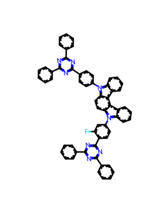 Fc1cc(-n2c3ccccc3c3c4c5ccccc5n(-c5ccc(-c6nc(-c7ccccc7)nc(-c7ccccc7)n6)cc5)c4ccc32)ccc1-c1nc(-c2ccccc2)nc(-c2ccccc2)n1